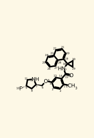 Cc1ccc(OC[C@H]2C[C@H](F)CN2)cc1C(=O)NC1(c2cccc3ccccc23)CC1